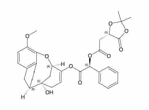 COc1ccc2c3c1O[C@@H]1C[C@@](O)(CC=C1OC(=O)[C@@H](OC(=O)C[C@@H]1OC(C)(C)OC1=O)c1ccccc1)[C@H](CCCC3)C2